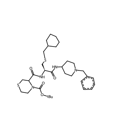 CC(C)(C)OC(=O)N1CCSCC1C(=O)N[C@@H](CSCC1CCCCC1)C(=O)NC1CCN(Cc2ccccc2)CC1